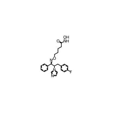 O=C(CCCCON=C(c1ccccc1)C(Cc1ccc(F)cc1)n1ccnc1)NO